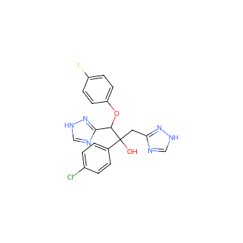 OC(Cc1nc[nH]n1)(c1ccc(Cl)cc1)C(Oc1ccc(F)cc1)c1nc[nH]n1